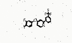 Fc1cc(Oc2ccnc(-c3cccc(C(F)(F)F)c3)c2)ccc1I